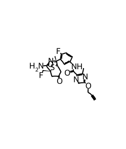 C#CCOc1cnc(C(=O)Nc2ccc(F)c([C@@]3(C)N=C(N)[C@@]4(CF)CC(=O)CC3[S+]4[O-])c2)c(C)n1